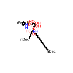 CCCCCCCCCCCCCCCCCCCCCCCCCCN[C@@H](CO[C@@H]1O[C@H](COC(=S)Nc2ccc(C(C)C)cc2)[C@H](O)[C@H](O)[C@H]1O)[C@H](O)[C@H](O)CCCCCCCCCCCCCC